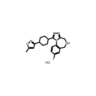 Cc1cc(C2CCC(c3nnc4n3-c3ccc(F)cc3CNC4)CC2)no1.Cl